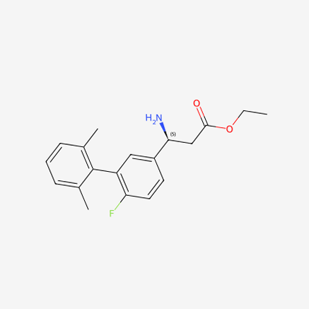 CCOC(=O)C[C@H](N)c1ccc(F)c(-c2c(C)cccc2C)c1